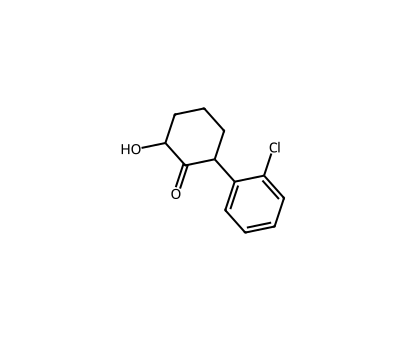 O=C1C(O)CCCC1c1ccccc1Cl